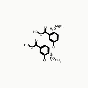 O.O.O.O.O=C(OO)c1cccc(Cl)c1.O=C(OO)c1cccc(Cl)c1.[MgH2]